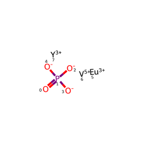 O=P([O-])([O-])[O-].[Eu+3].[V+5].[Y+3]